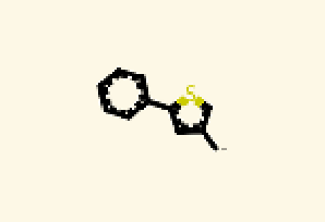 [CH2]c1csc(-c2ccccc2)c1